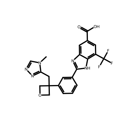 Cn1cnnc1CC1(c2cccc(-c3nc4cc(C(=O)O)cc(C(F)(F)F)c4[nH]3)c2)COC1